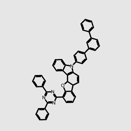 C1=CC2c3cccc(-c4nc(-c5ccccc5)nc(-c5ccccc5)n4)c3OC2c2c1n(-c1ccc(-c3cccc(-c4ccccc4)c3)cc1)c1ccccc21